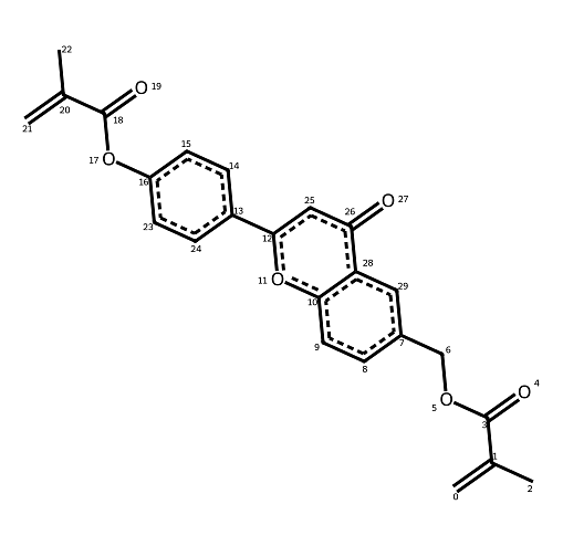 C=C(C)C(=O)OCc1ccc2oc(-c3ccc(OC(=O)C(=C)C)cc3)cc(=O)c2c1